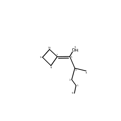 CCCC(C)C(O)=C1CCC1